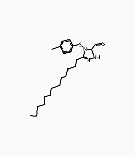 CCCCCCCCCCCCCC1=NNC(C=S)N1Sc1ccc(C)cc1